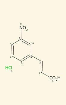 Cl.O=C(O)/C=C/c1cccc([N+](=O)[O-])c1